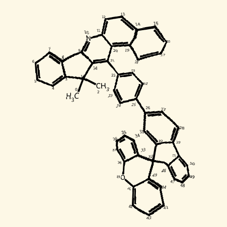 CC1(C)c2ccccc2-c2nc3ccc4ccccc4c3c(-c3ccc(-c4ccc5c(c4)C4(c6ccccc6Oc6ccccc64)c4ccccc4-5)cc3)c21